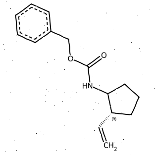 C=C[C@H]1CCCC1NC(=O)OCc1ccccc1